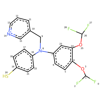 FC(F)Oc1ccc(N(Cc2cccnc2)c2ccc(S)cc2)cc1OC(F)F